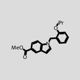 COC(=O)c1ccc2c(ccn2Cc2ccccc2OC(C)C)c1